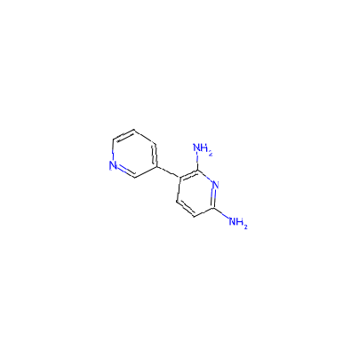 Nc1ccc(-c2cccnc2)c(N)n1